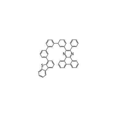 C1=CC(c2nc3c4ccccc4c4ccccc4c3nc2-c2ccccc2)=CC(c2cccc(-c3cccc(-c4cccc5c4sc4ccccc45)c3)c2)C1